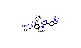 C=CC(=O)Nc1cc(Nc2cc(-c3ccc4cnn(C)c4c3)ncn2)c(OC)cc1N1CCN(CC)[C@@H](C)C1